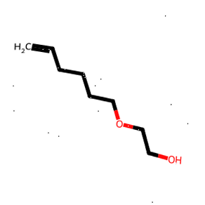 C=CCCCCOCCO